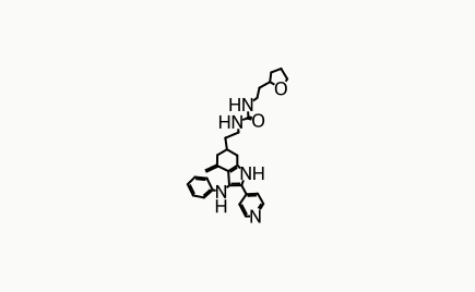 C=C1CC(CCNC(=O)NCCC2CCCO2)Cc2[nH]c(-c3ccncc3)c(Nc3ccccc3)c21